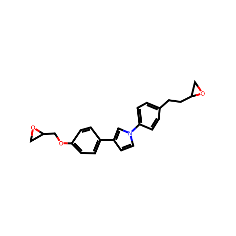 c1cc(-n2ccc(-c3ccc(OCC4CO4)cc3)c2)ccc1CCC1CO1